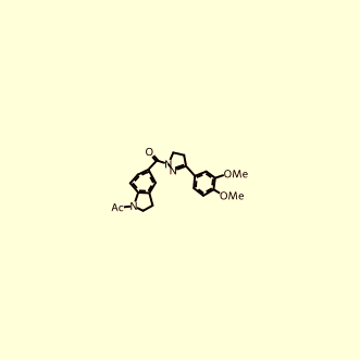 COc1ccc(C2=NN(C(=O)c3ccc4c(c3)CCN4C(C)=O)CC2)cc1OC